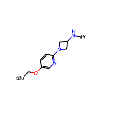 CC(C)NC1CN(c2ccc(OCC(C)(C)C)cn2)C1